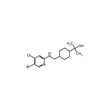 CC(C)(O)C1CCC(CNc2cc(Cl)c(Br)cn2)CC1